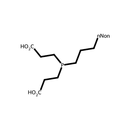 CCCCCCCCCCCCP(CCC(=O)O)CCC(=O)O